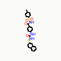 Cc1ccc(S(=O)(=O)NC(=O)c2ccc(NC(=O)NSc3ccc4ccccc4c3)cc2)cc1